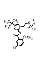 COc1ccc(Cl)cc1C(=O)/N=c1\sc(C(C)(C)C)cn1CCN(C)S(C)(=O)=O